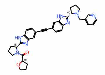 O=C([C@H]1CCCO1)N1CCC[C@H]1c1nc2cc(C#Cc3ccc4nc([C@@H]5CCCN5Cc5cccnc5)[nH]c4c3)ccc2[nH]1